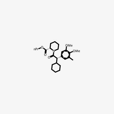 CCCOC(=O)[C@@H]1CCCCN1C(=O)[C@H](c1cc(C)c(OC)c(OC)c1)C1CCCCC1